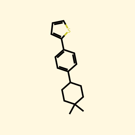 CC1(C)CCC(c2ccc(-c3cccs3)cc2)CC1